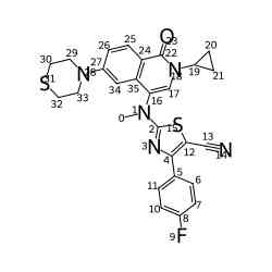 CN(c1nc(-c2ccc(F)cc2)c(C#N)s1)c1cn(C2CC2)c(=O)c2ccc(N3CCSCC3)cc12